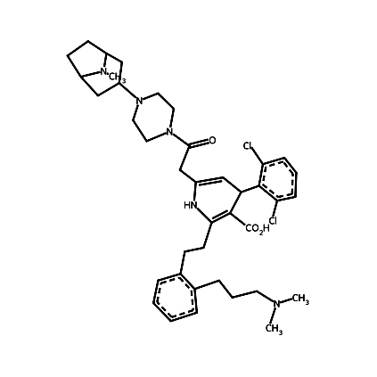 CN(C)CCCc1ccccc1CCC1=C(C(=O)O)C(c2c(Cl)cccc2Cl)C=C(CC(=O)N2CCN(C3CC4CCC(C3)N4C)CC2)N1